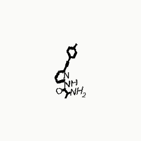 Cc1ccc(C#Cc2cccc(NC(=O)C(C)N)n2)cc1